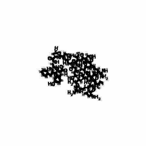 CC[C@H](C)[C@H](NC(=O)[C@H](CCCNC(=N)N)N1C(=O)[C@@H](N)CC1C)C(=O)N[C@H](C(=O)N[C@@H](CCC(N)=O)C(=O)N[C@@H](CS)C(=O)N[C@@H](CCCNC(=N)N)C(=O)N[C@@H](CO)C(=O)N[C@H](C(=O)N[C@@H](CCC(=O)O)C(=O)NCC(=O)NC(CO)C(=O)N[C@@H](CS)C(=O)NCC(=O)NC(Cc1ccccc1)C(=O)N[C@@H](Cc1ccc(O)cc1)C(=O)O)C(C)C)C(C)C